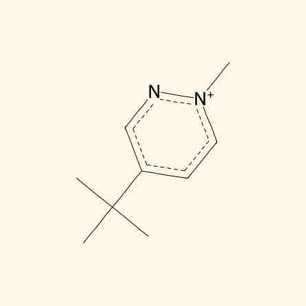 C[n+]1ccc(C(C)(C)C)cn1